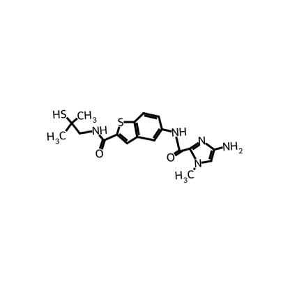 Cn1cc(N)nc1C(=O)Nc1ccc2sc(C(=O)NCC(C)(C)S)cc2c1